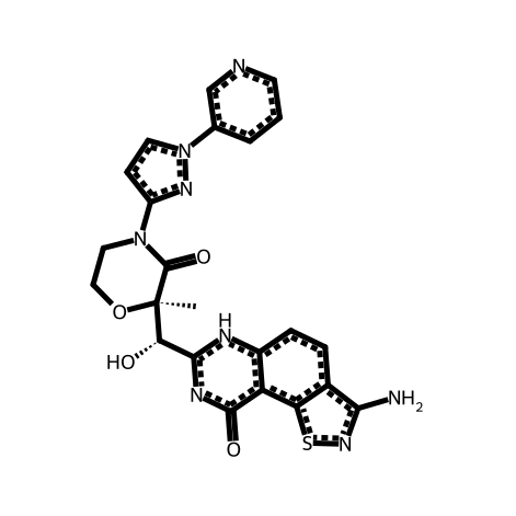 C[C@]1([C@@H](O)c2nc(=O)c3c(ccc4c(N)nsc43)[nH]2)OCCN(c2ccn(-c3cccnc3)n2)C1=O